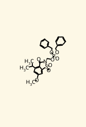 COc1cc(C(C)C)c2c(c1)S(=O)(=O)N(COP(=O)(OCc1ccccc1)OCc1ccccc1)C2=O